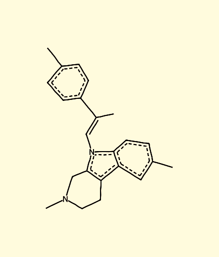 C/C(=C\n1c2c(c3cc(C)ccc31)CCN(C)C2)c1ccc(C)cc1